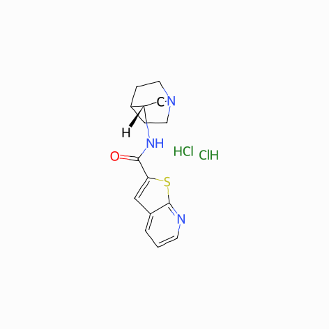 Cl.Cl.O=C(N[C@H]1CN2CCC1CC2)c1cc2cccnc2s1